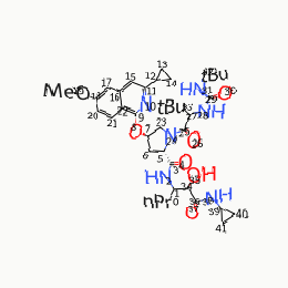 CCCC(NC(=O)[C@@H]1C[C@@H](Oc2nc(C3CC3)cc3cc(OC)ccc23)CN1C(=O)C(NC(=O)NC(C)(C)C)C(C)(C)C)C(O)C(=O)NC1CC1